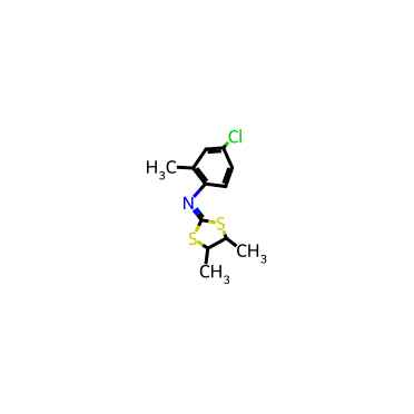 Cc1cc(Cl)ccc1N=C1SC(C)C(C)S1